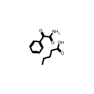 CCCCC(=O)O.NC(=O)C(=O)c1ccccc1